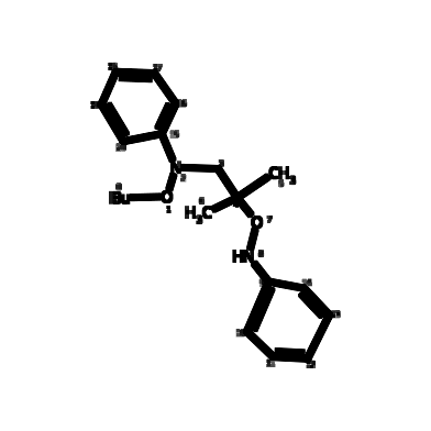 CCC(C)ON(CC(C)(C)ONc1ccccc1)c1ccccc1